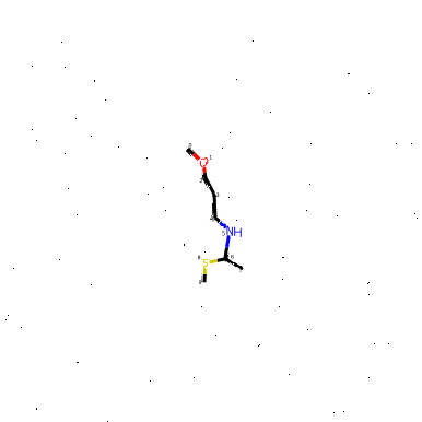 COCCCNC(C)SC